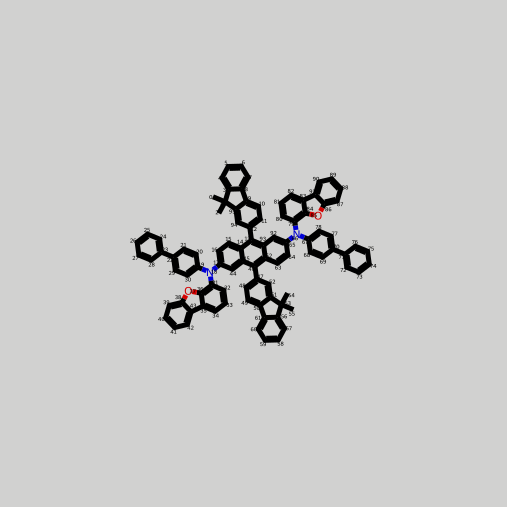 CC1(C)c2ccccc2-c2ccc(-c3c4ccc(N(c5ccc(-c6ccccc6)cc5)c5cccc6c5oc5ccccc56)cc4c(-c4ccc5c(c4)C(C)(C)c4ccccc4-5)c4ccc(N(c5ccc(-c6ccccc6)cc5)c5cccc6c5oc5ccccc56)cc34)cc21